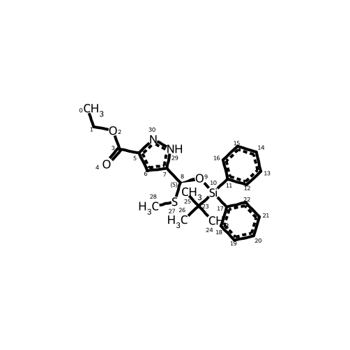 CCOC(=O)c1cc([C@@H](O[Si](c2ccccc2)(c2ccccc2)C(C)(C)C)SC)[nH]n1